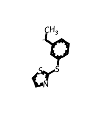 C[CH]c1cccc(Sc2nccs2)c1